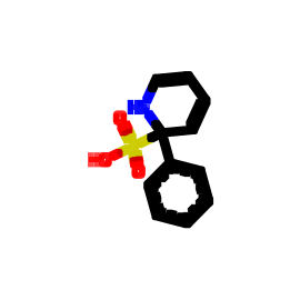 O=S(=O)(O)C1(c2ccccc2)C=CC=CN1